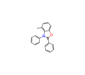 Cc1cccc2c1N(c1ccccc1)B(c1ccccc1)O2